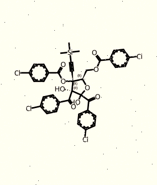 C[Si](C)(C)C#C[C@@]1(OC(=O)c2ccc(Cl)cc2)[C@@H](COC(=O)c2ccc(Cl)cc2)OC(O)(C(=O)c2ccc(Cl)cc2)[C@@]1(O)C(=O)c1ccc(Cl)cc1